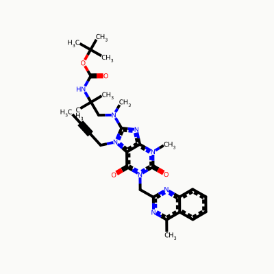 CC#CCn1c(N(C)CC(C)(C)NC(=O)OC(C)(C)C)nc2c1c(=O)n(Cc1nc(C)c3ccccc3n1)c(=O)n2C